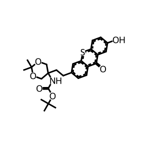 CC(C)(C)OC(=O)NC1(CCc2ccc3c(=O)c4cc(O)ccc4sc3c2)COC(C)(C)OC1